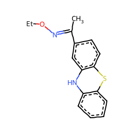 CCON=C(C)c1ccc2c(c1)Nc1ccccc1S2